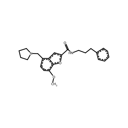 COc1ccc(CN2CCCC2)c2cc(C(=O)NCCCc3ccccc3)oc12